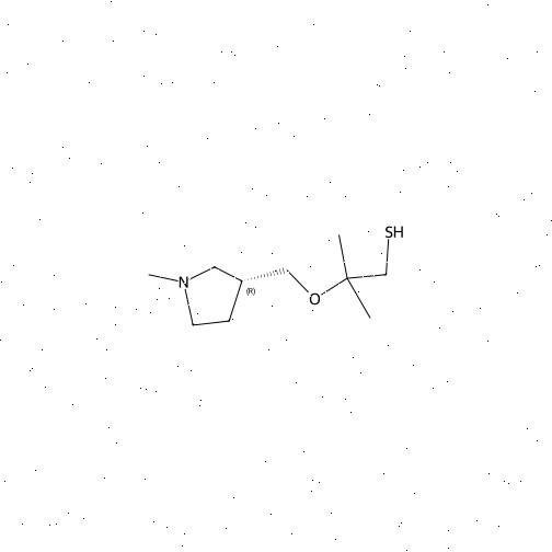 CN1CC[C@@H](COC(C)(C)CS)C1